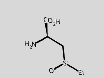 CC[S+]([O-])C[C@@H](N)C(=O)O